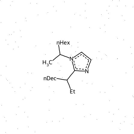 CCCCCCCCCCC(CC)c1nccn1C(C)CCCCCC